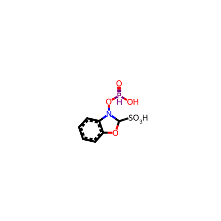 O=[PH](O)ON1c2ccccc2OC1S(=O)(=O)O